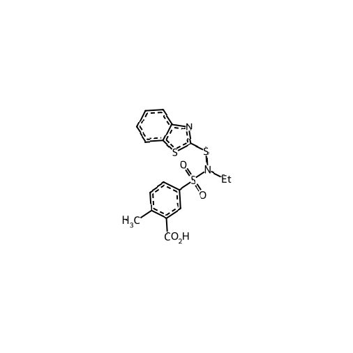 CCN(Sc1nc2ccccc2s1)S(=O)(=O)c1ccc(C)c(C(=O)O)c1